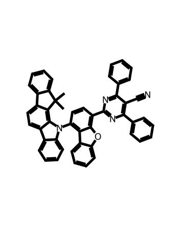 CC1(C)c2ccccc2-c2ccc3c4ccccc4n(-c4ccc(-c5nc(-c6ccccc6)c(C#N)c(-c6ccccc6)n5)c5oc6ccccc6c45)c3c21